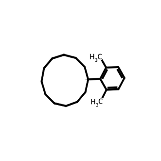 Cc1cccc(C)c1[C]1CCCCCCCCCCC1